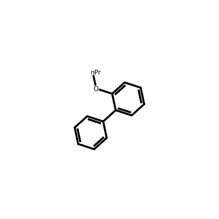 C[CH]COc1ccccc1-c1ccccc1